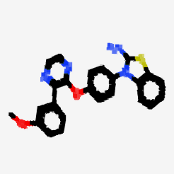 COc1cccc(-c2nccnc2Oc2ccc(N3c4ccccc4SC3N)cc2)c1